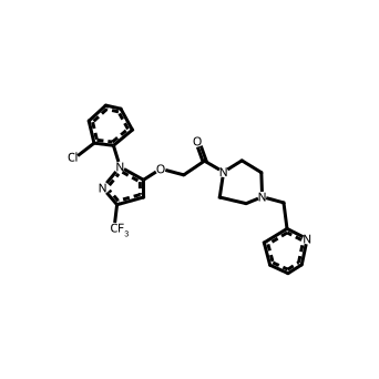 O=C(COc1cc(C(F)(F)F)nn1-c1ccccc1Cl)N1CCN(Cc2ccccn2)CC1